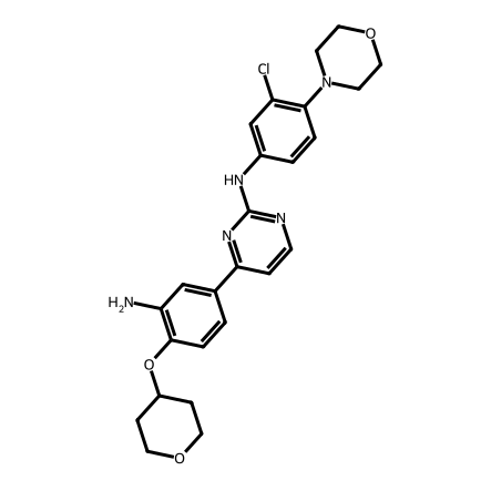 Nc1cc(-c2ccnc(Nc3ccc(N4CCOCC4)c(Cl)c3)n2)ccc1OC1CCOCC1